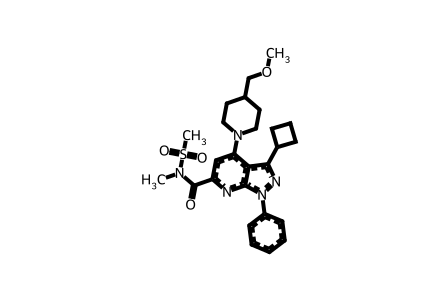 COCC1CCN(c2cc(C(=O)N(C)S(C)(=O)=O)nc3c2c(C2CCC2)nn3-c2ccccc2)CC1